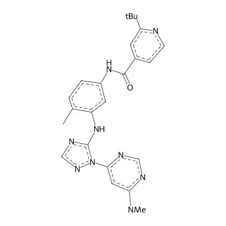 CNc1cc(-n2ncnc2Nc2cc(NC(=O)c3ccnc(C(C)(C)C)c3)ccc2C)ncn1